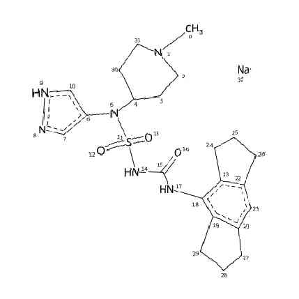 CN1CCC(N(c2cn[nH]c2)S(=O)(=O)NC(=O)Nc2c3c(cc4c2CCC4)CCC3)CC1.[Na]